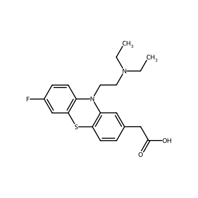 CCN(CC)CCN1c2ccc(F)cc2Sc2ccc(CC(=O)O)cc21